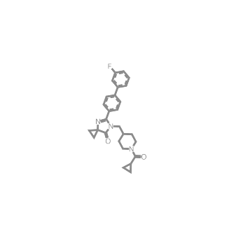 O=C(C1CC1)N1CCC(CN2C(=O)C3(CC3)N=C2c2ccc(-c3cccc(F)c3)cc2)CC1